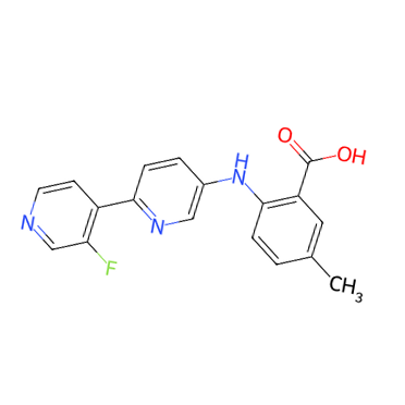 Cc1ccc(Nc2ccc(-c3ccncc3F)nc2)c(C(=O)O)c1